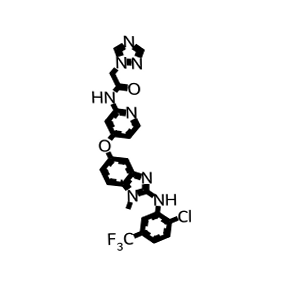 Cn1c(Nc2cc(C(F)(F)F)ccc2Cl)nc2cc(Oc3ccnc(NC(=O)Cn4cncn4)c3)ccc21